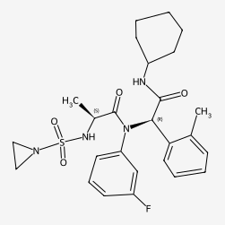 Cc1ccccc1[C@H](C(=O)NC1CCCCC1)N(C(=O)[C@H](C)NS(=O)(=O)N1CC1)c1cccc(F)c1